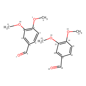 COc1ccc(C=O)cc1OC.COc1ccc(C=O)cc1OC